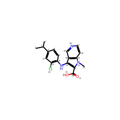 CC(C)c1ccc(Nc2c(C(=O)O)n(C)c3ccncc23)c(Cl)c1